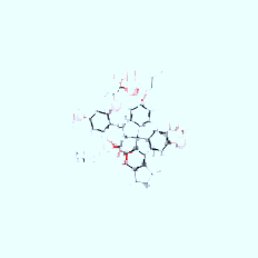 CCCOc1ccc2c(c1)C(c1ccc(OC)cc1OCC(=O)O)C(C(=O)[O-])C2(c1ccc2c(c1)CCC2)c1ccc2c(c1)OCO2.[Na+]